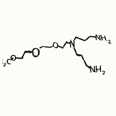 COCCOCCOCCN(CCCN)CCCN